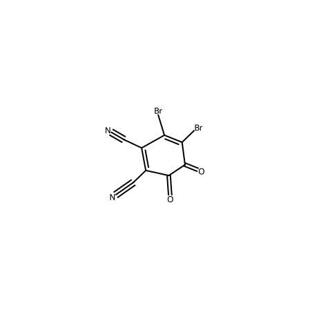 N#CC1=C(C#N)C(Br)=C(Br)C(=O)C1=O